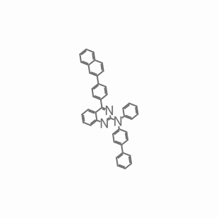 c1ccc(-c2ccc(N(c3ccccc3)c3nc(-c4ccc(-c5ccc6ccccc6c5)cc4)c4ccccc4n3)cc2)cc1